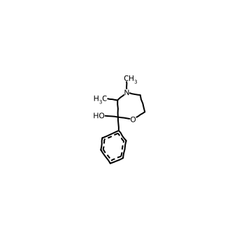 CC1N(C)CCOC1(O)c1ccccc1